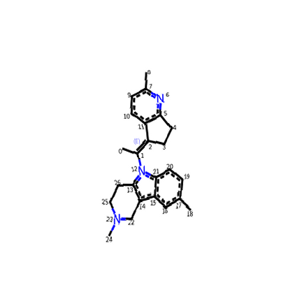 C/C(=C1/CCc2nc(C)ccc21)n1c2c(c3cc(C)ccc31)CN(C)CC2